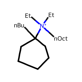 CCCCCCCC[N+](CC)(CC)C1(CCCC)CCCCC1